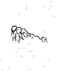 CCCCCCCC(Cc1ccccc1)C(C)(C)N